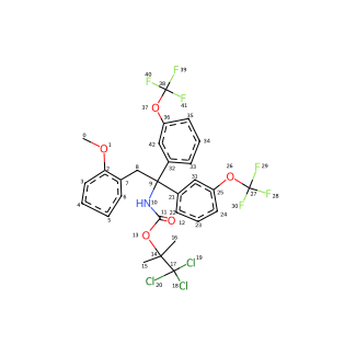 COc1ccccc1CC(NC(=O)OC(C)(C)C(Cl)(Cl)Cl)(c1cccc(OC(F)(F)F)c1)c1cccc(OC(F)(F)F)c1